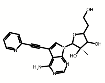 C[C@@]1(O)C(O)C(CCO)OC1n1cc(C#Cc2ccccn2)c2c(N)ncnc21